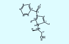 Cc1cc(C(=O)c2ccccc2)c(C)n1[C@H](C)CO